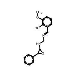 COc1cccc(/C=N/CNC2OC2c2ccccc2)c1O